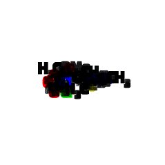 COC(C)C(NC(=O)c1ccc(-c2nc(N3CCN(C)CC3)sc2C)c(C)c1)C(=O)N1CC(Cl)C2OCC(=O)C21